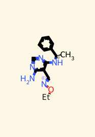 CCO/N=C/c1c(N)ncnc1N[C@@H](C)c1ccccc1